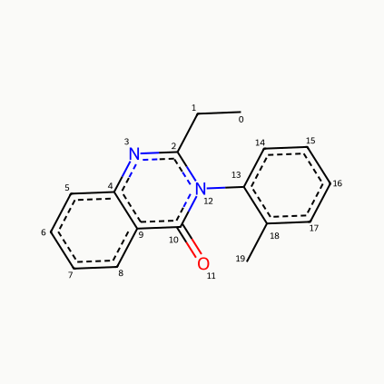 CCc1nc2ccccc2c(=O)n1-c1ccccc1C